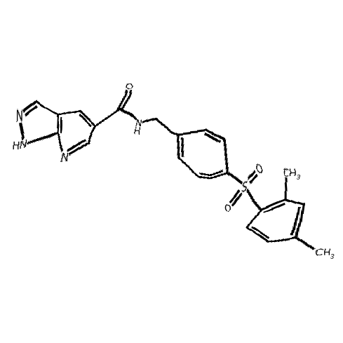 Cc1ccc(S(=O)(=O)c2ccc(CNC(=O)c3cnc4[nH]ncc4c3)cc2)c(C)c1